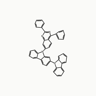 c1ccc(-c2nc(-c3ccccc3)c3ccc(-n4c5ccccc5c5ccc(-n6c7ccccc7c7ccccc76)cc54)cc3n2)cc1